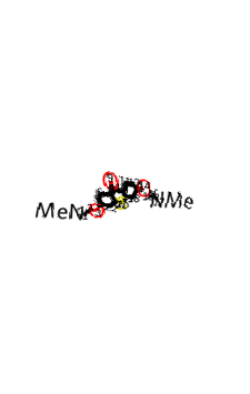 CNCCOc1ccc2c(=O)c3ccc(OCCNC)cc3sc2c1